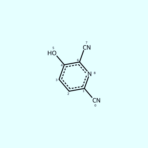 N#Cc1ccc(O)c(C#N)n1